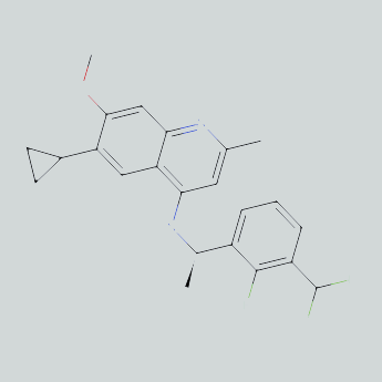 COc1cc2nc(C)cc(N[C@H](C)c3cccc(C(F)F)c3F)c2cc1C1CC1